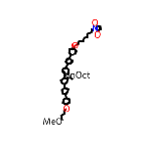 CCCCCCCC[Si]1(C)c2cc(-c3ccc(-c4ccc(OCCCCCCCCN5C(=O)C=CC5=O)cc4)cc3)ccc2-c2ccc(-c3ccc(-c4ccc(OCCCCOC)cc4)cc3)cc21